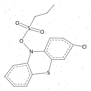 CCCS(=O)(=O)ON1c2ccccc2Sc2cc(Cl)ccc21